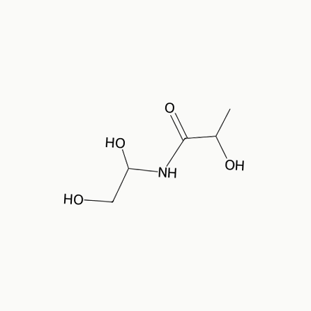 CC(O)C(=O)NC(O)CO